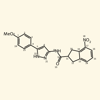 COc1ccc(-c2cc(NC(=O)C3Cc4cccc([N+](=O)[O-])c4C3)n[nH]2)cc1